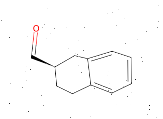 O=C[C@@H]1CCc2ccccc2C1